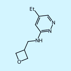 CCc1cnnc(NCC2COC2)c1